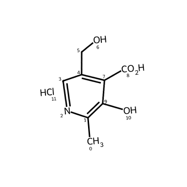 Cc1ncc(CO)c(C(=O)O)c1O.Cl